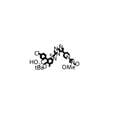 COC(=O)N1CC(N2CCC(c3cn(C)c4ncc(-c5nc6cc(C)c(C(OC(C)(C)C)C(=O)O)c(-c7ccc(Cl)cc7)c6s5)nc34)CC2)C1